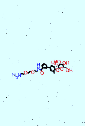 Cc1cc(-c2cccc(C(=O)NCCOCCOCCN)c2)ccc1O[C@H]1O[C@H](CO)[C@@H](O)[C@H](O)[C@@]1(C)O